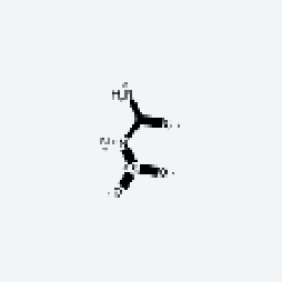 NC(=O)N=S(=O)=O.[N]